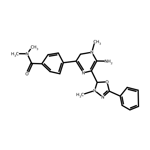 CN(C)C(=O)c1ccc(C2=NC(C3OC(c4ccccc4)=NN3C)=C(N)N(C)C2)cc1